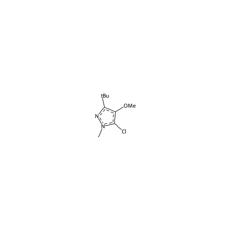 COc1c(C(C)(C)C)nn(C)c1Cl